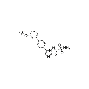 NS(=O)(=O)c1nn2c(-c3ccc(-c4cccc(OC(F)(F)F)c4)cc3)cnc2s1